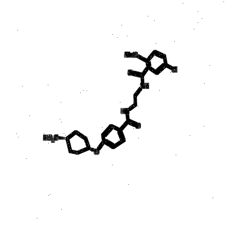 COc1ccc(Cl)cc1C(=O)NCCNC(=O)c1ccc(O[C@H]2CC[C@@H](C(=O)O)CC2)cc1